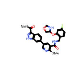 CNC(=O)c1n[nH]c2cc(-c3cnc(OC)c(C(=O)NCc4ccc(F)cc4OC4COCN4)c3)ccc12